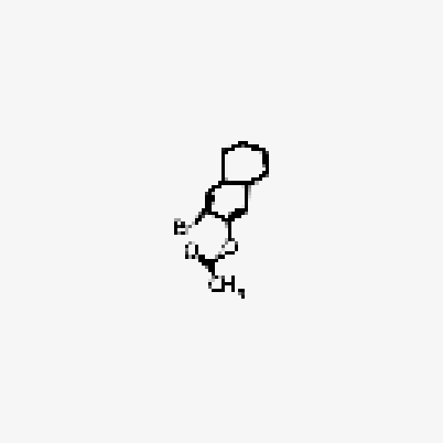 CC(=O)OC1=CC2CCCCC2C=C1Br